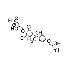 CCS(=O)(=O)C[C@H](O)COc1c(Cl)cc(C(C)(C)c2ccc(OC[C@@H](O)CCl)cc2)cc1Cl